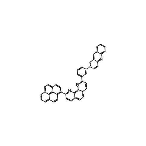 c1cc(-c2ccc3nc4ccccc4cc3c2)cc(-c2ccc3ccc4ccc(-c5ccc6ccc7cccc8ccc5c6c78)nc4c3n2)c1